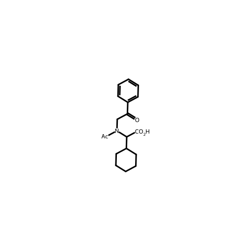 CC(=O)N(CC(=O)c1ccccc1)C(C(=O)O)C1CCCCC1